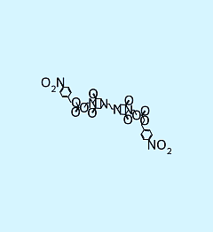 O=C(OCc1ccc([N+](=O)[O-])cc1)OCN1C(=O)CN(CCN2CC(=O)N(COC(=O)OCc3ccc([N+](=O)[O-])cc3)C(=O)C2)CC1=O